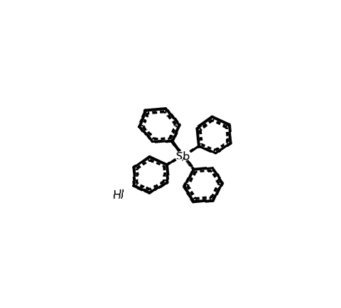 I.c1cc[c]([Sb]([c]2ccccc2)([c]2ccccc2)[c]2ccccc2)cc1